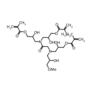 C=C(C)C(=O)OCC(O)CN(CC(=O)N(CC(O)COC(=O)C(=C)C)CC(O)COC(=O)C(=C)C)CC(O)COC